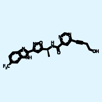 C[C@H](NC(=O)c1cc(C#CCCO)ncn1)c1cc(-c2nc3ccc(C(F)(F)F)cc3[nH]2)no1